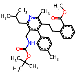 COC(=O)c1ccccc1CCc1c(C)nc(CC(C)C)c(CNC(=O)OC(C)(C)C)c1-c1ccc(C)cc1